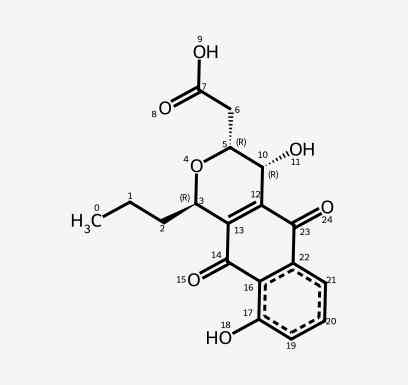 CCC[C@H]1O[C@H](CC(=O)O)[C@H](O)C2=C1C(=O)c1c(O)cccc1C2=O